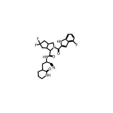 N#CC(CC1CCCNC1=O)NC(=O)C1C2CC(F)(F)CC2CN1C(=O)c1cc2c(F)cccc2[nH]1